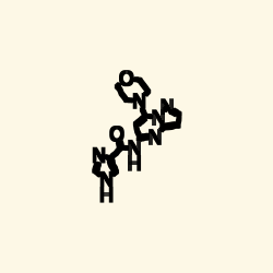 O=C(Nc1cc(N2CCOCC2)n2nccc2n1)c1c[nH]cn1